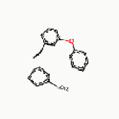 CCCCCCCCc1ccccc1.Cc1cccc(Oc2ccccc2)c1